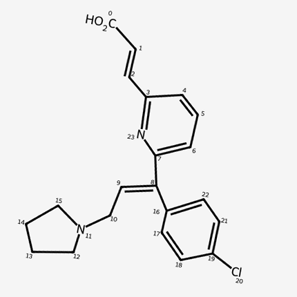 O=C(O)C=Cc1cccc(C(=CCN2CCCC2)c2ccc(Cl)cc2)n1